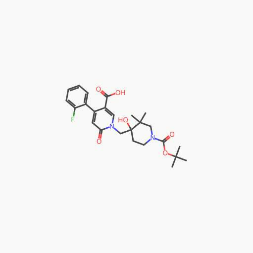 CC(C)(C)OC(=O)N1CCC(O)(Cn2cc(C(=O)O)c(-c3ccccc3F)cc2=O)C(C)(C)C1